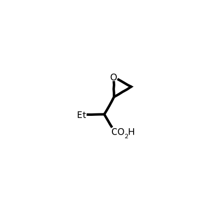 CCC(C(=O)O)C1CO1